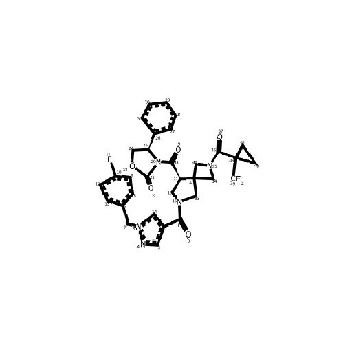 O=C(c1cnn(Cc2ccc(F)cc2)c1)N1C[C@@H](C(=O)N2C(=O)OC[C@H]2c2ccccc2)C2(C1)CN(C(=O)C1(C(F)(F)F)CC1)C2